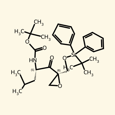 CC(C)C[C@H](NC(=O)OC(C)(C)C)C(=O)[C@]1(CO[Si](c2ccccc2)(c2ccccc2)C(C)(C)C)CO1